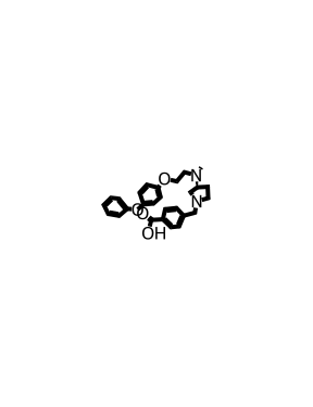 CN(CCOc1ccc(Oc2ccccc2)cc1)[C@H]1CCN(Cc2ccc(C(=O)O)cc2)C1